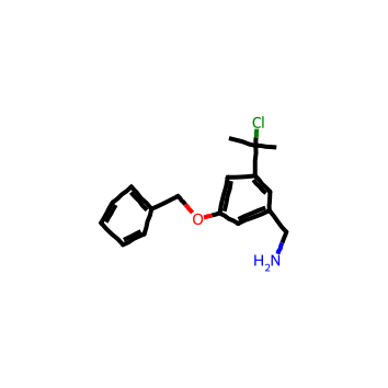 CC(C)(Cl)c1cc(CN)cc(OCc2ccccc2)c1